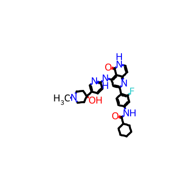 CN1CCC(O)(c2ccc(Nc3cc(-c4ccc(NC(=O)C5CCCCC5)cc4F)nc4cc[nH]c(=O)c34)nc2)CC1